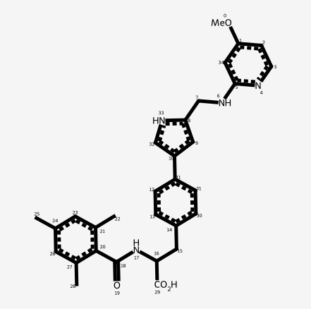 COc1ccnc(NCc2cc(-c3ccc(CC(NC(=O)c4c(C)cc(C)cc4C)C(=O)O)cc3)c[nH]2)c1